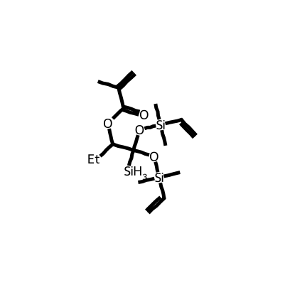 C=C[Si](C)(C)OC([SiH3])(O[Si](C)(C)C=C)C(CC)OC(=O)C(=C)C